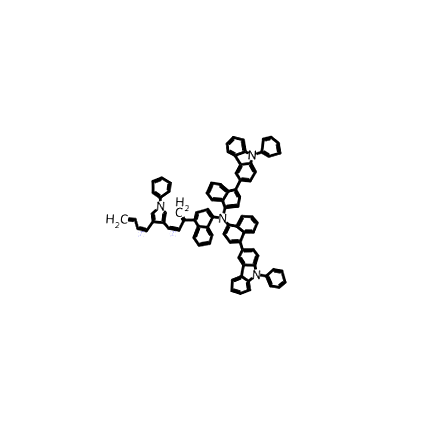 C=C/C=C\c1cn(-c2ccccc2)cc1/C=C\C(=C)c1ccc(N(c2ccc(-c3ccc4c(c3)c3ccccc3n4-c3ccccc3)c3ccccc23)c2ccc(-c3ccc4c(c3)c3ccccc3n4-c3ccccc3)c3ccccc23)c2ccccc12